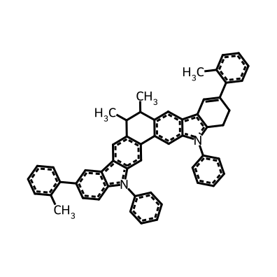 Cc1ccccc1C1=Cc2c(n(-c3ccccc3)c3cc4c(cc23)C(C)C(C)c2cc3c5cc(-c6ccccc6C)ccc5n(-c5ccccc5)c3cc2-4)CC1